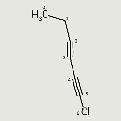 CCC#CC#CCl